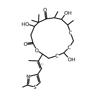 C/C(=C\c1csc(C)n1)C1CCC(O)CCCC(C)C(O)C(C)C(=O)C(C)(C)C(O)CC(=O)O1